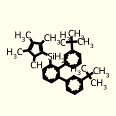 CC1=C(C)C(C)C([SiH2]c2cccc(-c3cccc(C(C)(C)C)c3)c2-c2cccc(C(C)(C)C)c2)=C1C